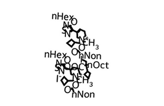 CCCCCCCCC(CI)(C(=O)[O-])C1CCC1.CCCCCCCCCC(=O)OC(C1CCC1)[N+]1(C)CCC=C(c2nsnc2OCCCCCC)C1.CCCCCCCCCC(=O)OC(C1CCC1)[N+]1(C)CCC=C(c2nsnc2OCCCCCC)C1.[I-]